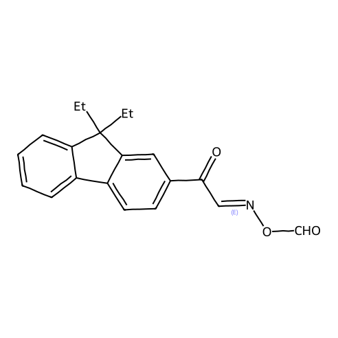 CCC1(CC)c2ccccc2-c2ccc(C(=O)/C=N/OC=O)cc21